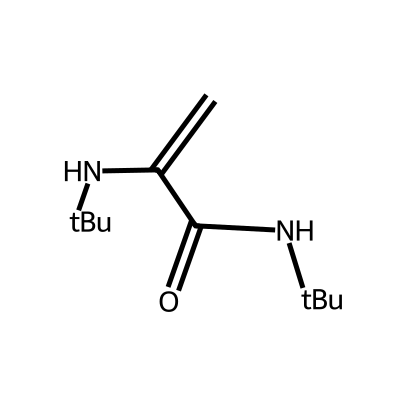 C=C(NC(C)(C)C)C(=O)NC(C)(C)C